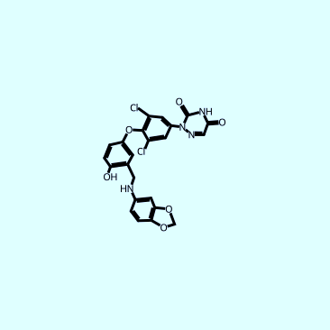 O=c1cnn(-c2cc(Cl)c(Oc3ccc(O)c(CNc4ccc5c(c4)OCO5)c3)c(Cl)c2)c(=O)[nH]1